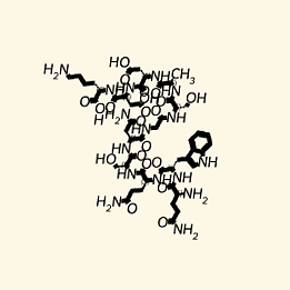 C[C@H](NC(=O)[C@H](CO)NC(=O)CNC(=O)[C@H](CC(N)=O)NC(=O)[C@H](CO)NC(=O)[C@H](CCC(N)=O)NC(=O)[C@H](Cc1c[nH]c2ccccc12)NC(=O)[C@@H](N)CCC(N)=O)C(=O)N[C@@H](CC(=O)O)C(=O)N[C@@H](CC(=O)O)C(=O)N[C@@H](CCCCN)C(=O)O